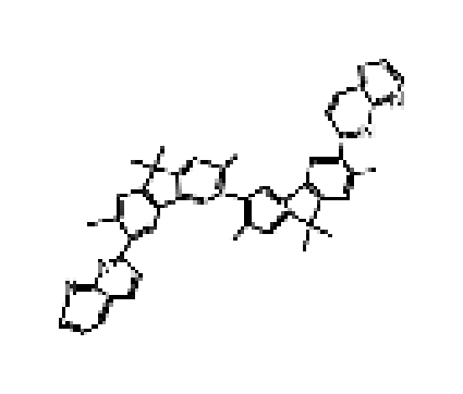 Cc1cc2c(cc1-c1ccc3cccnc3n1)-c1cc(-c3cc4c(cc3C)C(C)(C)c3cc(C)c(-c5ccc6cccnc6n5)cc3-4)c(C)cc1C2(C)C